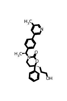 Cc1cncc(-c2ccc([C@H](C)N3CC[C@](CCCO)(c4ccccc4)OC3=O)cc2)c1